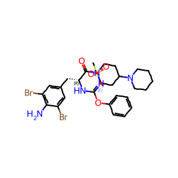 CS(=O)(=O)/N=C(\N[C@H](Cc1cc(Br)c(N)c(Br)c1)C(=O)N1CCC(N2CCCCC2)CC1)Oc1ccccc1